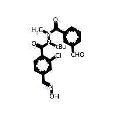 CN(C(=O)c1cccc(C=O)c1)N(C(=O)c1ccc(/C=N/O)cc1Cl)C(C)(C)C